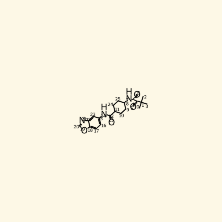 CC(C)(C)S(=O)(=O)NC1CCC(C(=O)Nc2ccc3ocnc3c2)CC1